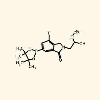 CC(C)(C)OC(O)CN1Cc2c(F)cc(B3OC(C)(C)C(C)(C)O3)cc2C1=O